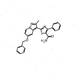 Cc1nn2ccc(OCc3ccccc3)cc2c1-c1nc(-c2ccccc2)c(C(N)=O)s1